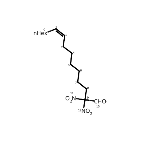 CCCCCC/C=C\CCCCCCC([C]=O)([N+](=O)[O-])[N+](=O)[O-]